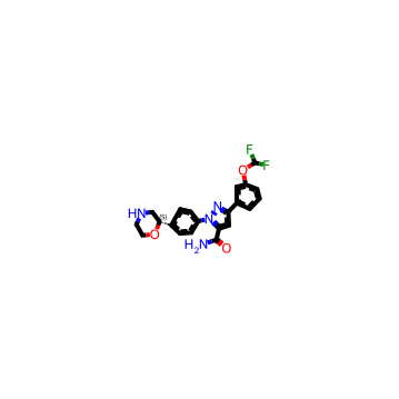 NC(=O)c1cc(-c2cccc(OC(F)F)c2)nn1-c1ccc([C@H]2CNCCO2)cc1